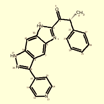 C[C@@H](C(=O)c1nc2cc3c(-c4ccncc4)n[nH]c3cc2[nH]1)c1ccccc1